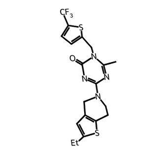 CCc1cc2c(s1)CCN(c1nc(C)n(Cc3ccc(C(F)(F)F)s3)c(=O)n1)C2